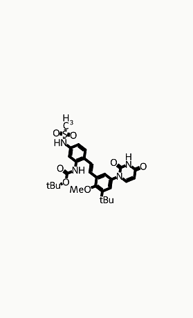 COc1c(/C=C/c2ccc(NS(C)(=O)=O)cc2NC(=O)OC(C)(C)C)cc(-n2ccc(=O)[nH]c2=O)cc1C(C)(C)C